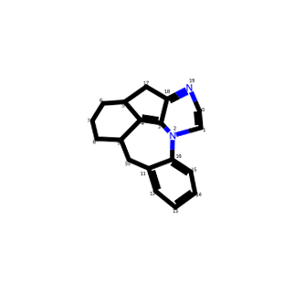 C1=CN2C3=C4C(CCCC4Cc4ccccc42)CC3=N1